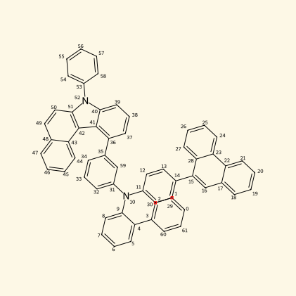 c1ccc(-c2ccccc2N(c2ccc(-c3cc4ccccc4c4ccccc34)cc2)c2cccc(-c3cccc4c3c3c5ccccc5ccc3n4-c3ccccc3)c2)cc1